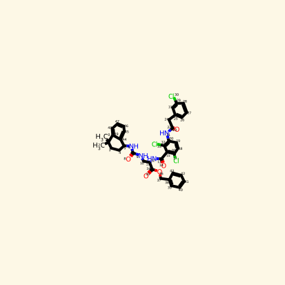 CC1(C)CCC(NC(=O)NCC(NC(=O)c2c(Cl)ccc(NC(=O)Cc3cccc(Cl)c3)c2Cl)C(=O)OCc2ccccc2)c2ccccc21